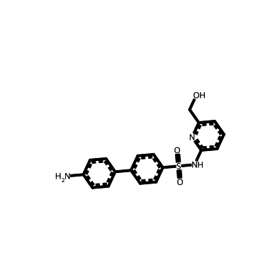 Nc1ccc(-c2ccc(S(=O)(=O)Nc3cccc(CO)n3)cc2)cc1